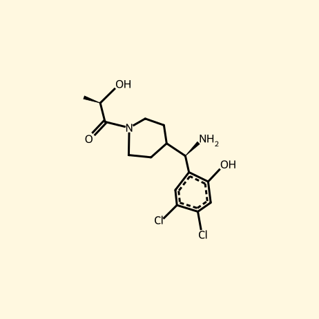 C[C@@H](O)C(=O)N1CCC([C@@H](N)c2cc(Cl)c(Cl)cc2O)CC1